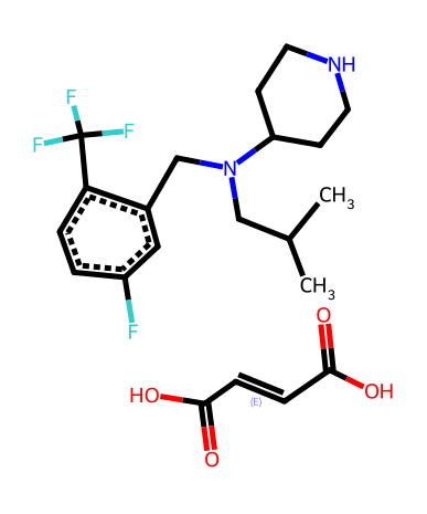 CC(C)CN(Cc1cc(F)ccc1C(F)(F)F)C1CCNCC1.O=C(O)/C=C/C(=O)O